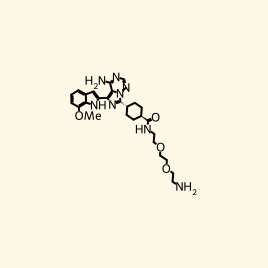 COc1cccc2cc(-c3nc([C@H]4CC[C@H](C(=O)NCCOCCOCCN)CC4)n4ncnc(N)c34)[nH]c12